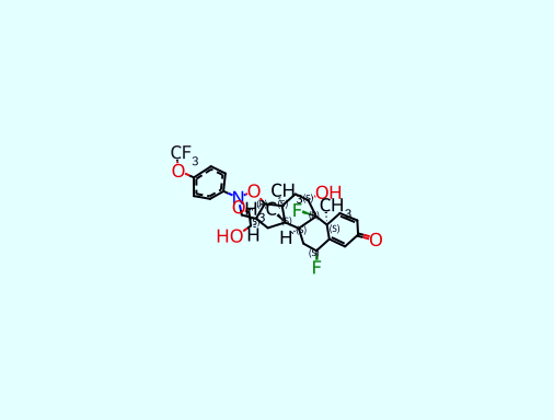 C[C@]12C[C@H](O)[C@@]3(F)[C@@H](C[C@H](F)C4=CC(=O)C=C[C@@]43C)[C@]1(C)C[C@H]1CN(c3ccc(OC(F)(F)F)cc3)O[C@]12C(=O)CO